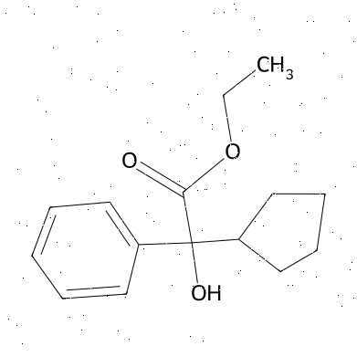 CCOC(=O)C(O)(c1ccccc1)C1CCCC1